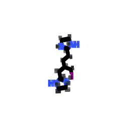 ICC(CCc1ncc[nH]1)Cc1ncc[nH]1